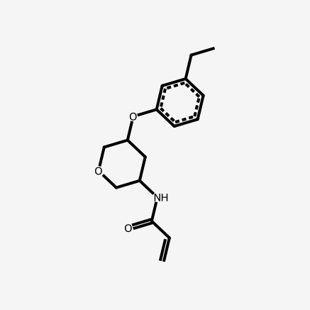 C=CC(=O)NC1COCC(Oc2cccc(CC)c2)C1